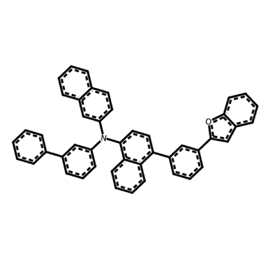 c1ccc(-c2cccc(N(c3ccc4ccccc4c3)c3ccc(-c4cccc(-c5cc6ccccc6o5)c4)c4ccccc34)c2)cc1